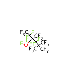 FOC(F)(F)C(C(F)(F)F)(C(F)(F)C(F)(F)F)C(F)(F)C(C(F)(F)F)(C(F)(F)F)C(F)(F)F